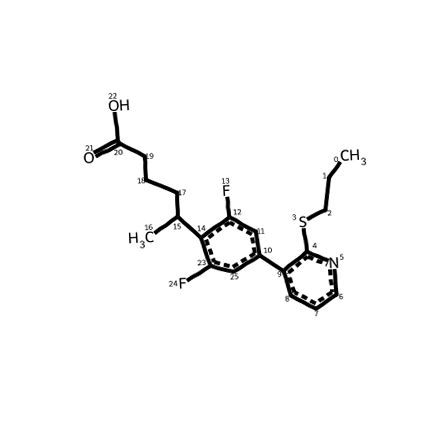 CCCSc1ncccc1-c1cc(F)c(C(C)CCCC(=O)O)c(F)c1